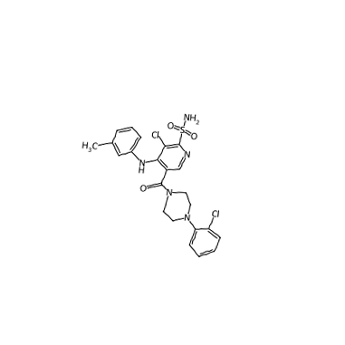 Cc1cccc(Nc2c(C(=O)N3CCN(c4ccccc4Cl)CC3)cnc(S(N)(=O)=O)c2Cl)c1